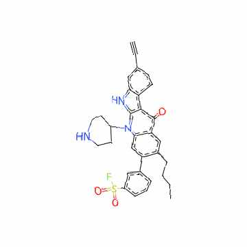 C#Cc1ccc2c(c1)[nH]c1c2c(=O)c2cc(CCCC)c(-c3cccc(S(=O)(=O)F)c3)cc2n1C1CCNCC1